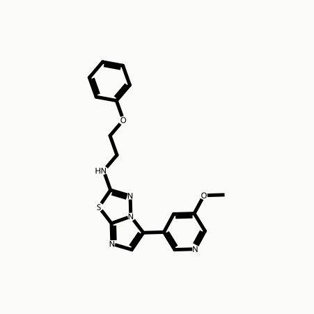 COc1cncc(-c2cnc3sc(NCCOc4ccccc4)nn23)c1